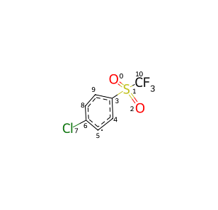 O=S(=O)(c1c[c]c(Cl)cc1)C(F)(F)F